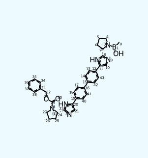 CB(O)N1CCC[C@H]1c1ncc(-c2ccc(-c3ccc(-c4cnc([C@@H]5CCCN5C(=O)OCc5ccccc5)[nH]4)cc3)cc2)[nH]1